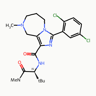 CNC(=O)[C@@H](NC(=O)c1nc(-c2cc(Cl)ccc2Cl)n2c1CN(C)CCC2)C(C)(C)C